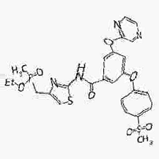 CCOP(C)(=O)Cc1csc(NC(=O)c2cc(Oc3ccc(S(C)(=O)=O)cc3)cc(Oc3cnccn3)c2)n1